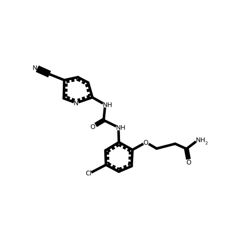 N#Cc1ccc(NC(=O)Nc2cc(Cl)ccc2OCCC(N)=O)nc1